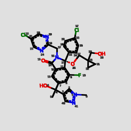 Cn1cc(C(C)(O)c2cc(F)c3c(c2)C(=O)N(Cc2ncc(Cl)cn2)[C@@]3(OCC2(CO)CC2)c2ccc(Cl)cc2)cn1